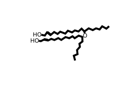 CCCCCCCC(CCCCCCCCCC=CCO)OC(CCCCCCC)CCCCCCCCCC=CCO